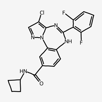 O=C(NC1CCC1)c1ccc2c(c1)-n1ncc(Cl)c1N=C(c1c(F)cccc1F)N2